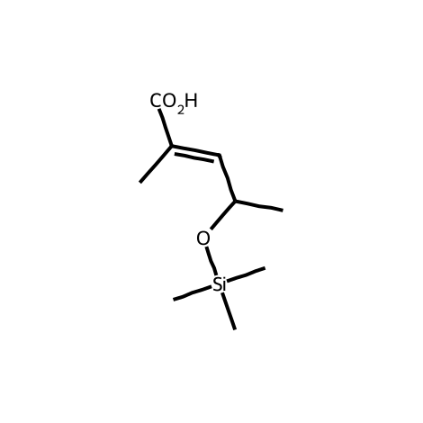 CC(=CC(C)O[Si](C)(C)C)C(=O)O